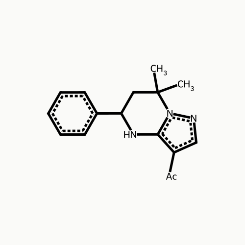 CC(=O)c1cnn2c1NC(c1ccccc1)CC2(C)C